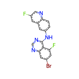 Fc1cnc2ccc(Nc3ncnc4cc(Br)cc(F)c34)cc2c1